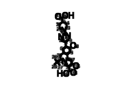 COc1cc2c(cc1-c1cnc(N3CCC(C(=O)O)CC3)nc1)CC(C(C)(C)C)n1cc(C(=O)O)c(=O)cc1-2